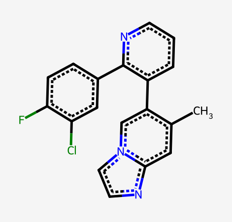 Cc1cc2nccn2cc1-c1cccnc1-c1ccc(F)c(Cl)c1